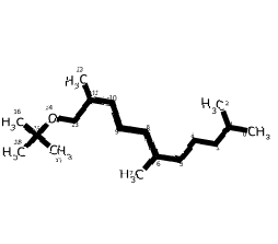 CC(C)CCCC(C)CCCC(C)COC(C)(C)C